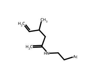 C=CC(C)CC(=C)NCCC(C)=O